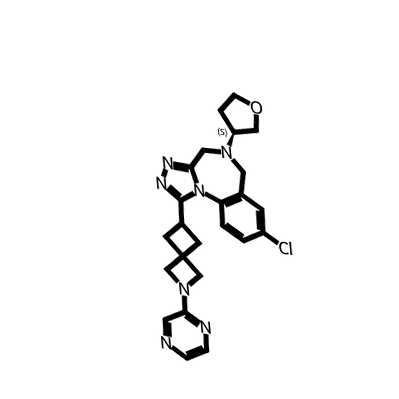 Clc1ccc2c(c1)CN([C@H]1CCOC1)Cc1nnc(C3CC4(C3)CN(c3cnccn3)C4)n1-2